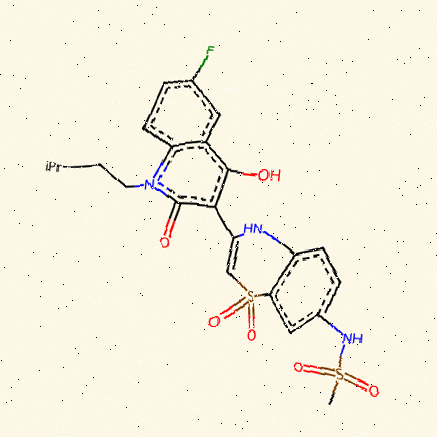 CC(C)CCn1c(=O)c(C2=CS(=O)(=O)c3cc(NS(C)(=O)=O)ccc3N2)c(O)c2cc(F)ccc21